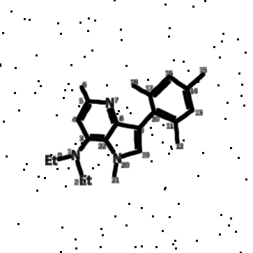 CCN(CC)c1cc(C)nc2c(-c3c(C)cc(C)cc3C)cn(C)c12